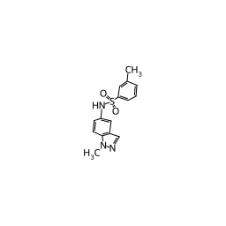 Cc1cccc(S(=O)(=O)Nc2ccc3c(cnn3C)c2)c1